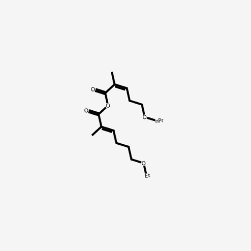 CCCOCCC=C(C)C(=O)OC(=O)C(C)=CCCCOCC